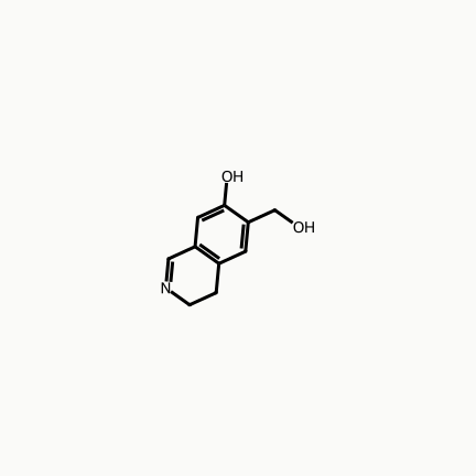 OCc1cc2c(cc1O)C=NCC2